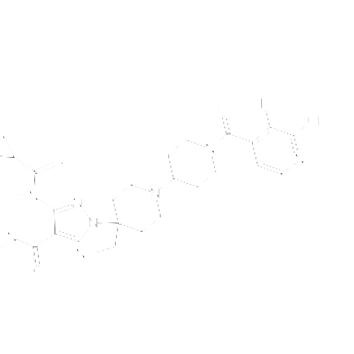 N#CCC1(n2cc(C(N)=O)c(NC(=O)C3CC3)n2)CCN(C2CCN(C(=O)c3ccnc(C(F)(F)F)c3F)CC2)CC1